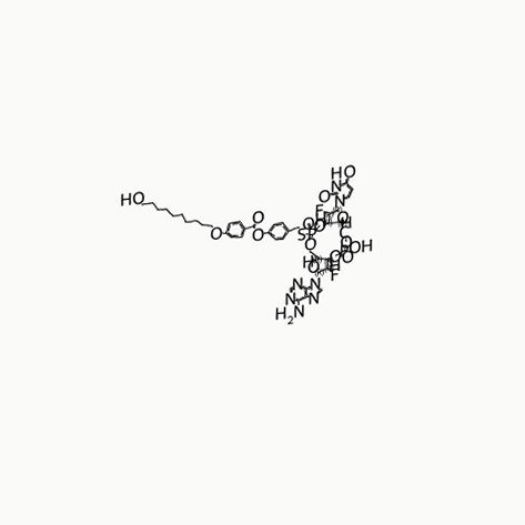 Nc1ncnc2c1ncn2[C@@H]1O[C@@H]2COP(=O)(SCc3ccc(OC(=O)c4ccc(OCCCCCCCCCCO)cc4)cc3)O[C@H]3[C@@H](F)[C@H](n4ccc(=O)[nH]c4=O)O[C@@H]3COP(=O)(O)O[C@H]2[C@H]1F